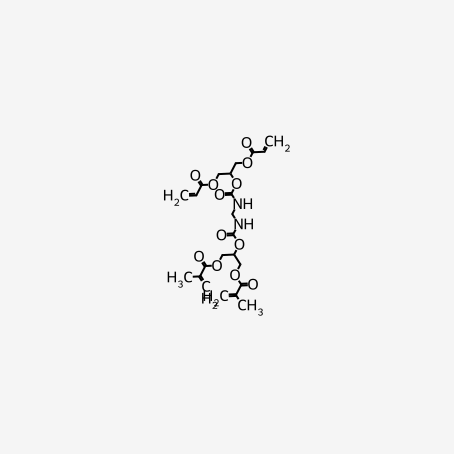 C=CC(=O)OCC(COC(=O)C=C)OC(=O)NCNC(=O)OC(COC(=O)C(=C)C)COC(=O)C(=C)C